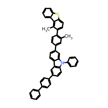 Cc1cc(-c2ccc3c4cc(-c5ccc(-c6ccccc6)cc5)ccc4n(-c4ccccc4)c3c2)ccc1-c1ccc2sc3ccccc3c2c1C